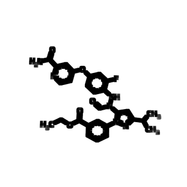 CCOC(=O)c1cccc(-n2nc(C(C)C)cc2N(C=O)Nc2ccc(Oc3ccnc(C(N)=O)c3)cc2F)c1